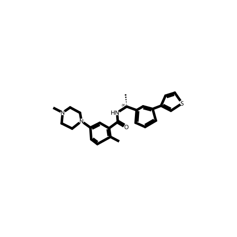 Cc1ccc(N2CCN(C)CC2)cc1C(=O)N[C@H](C)c1cccc(-c2ccsc2)c1